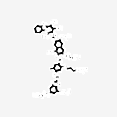 CCCc1c(N=Nc2cc3c(O)c(N=Nc4cc(C)c(N=Nc5nc6c(S(=O)(=O)O)cc(SOOO)cc6s5)cc4OCCCS(=O)(=O)O)c(SOOO)cc3cc2S(=O)(=O)O)c(O)n2c(nc3ccccc32)c1C#N